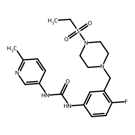 CCS(=O)(=O)N1CCN(Cc2cc(NC(=O)Nc3ccc(C)nc3)ccc2F)CC1